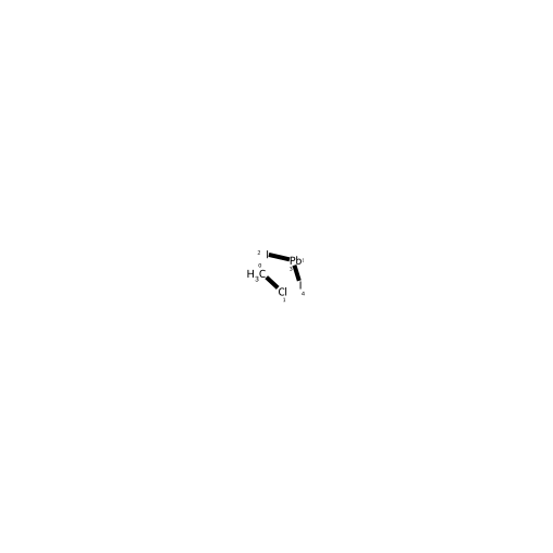 CCl.[I][Pb][I]